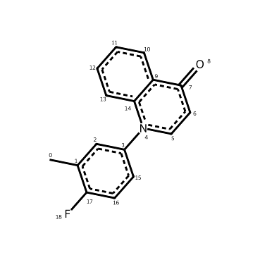 Cc1cc(-n2ccc(=O)c3ccccc32)ccc1F